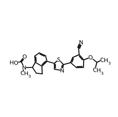 CC(C)Oc1ccc(-c2ncc(-c3cccc4c3CCC4N(C)C(=O)O)s2)cc1C#N